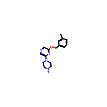 Cc1cccc(COc2cncc(N3CCNCC3)n2)c1